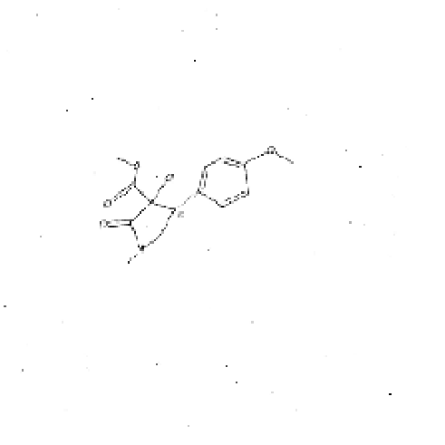 COC(=O)C1(Cl)C(=O)N(C)C[C@H]1c1ccc(OC)cc1